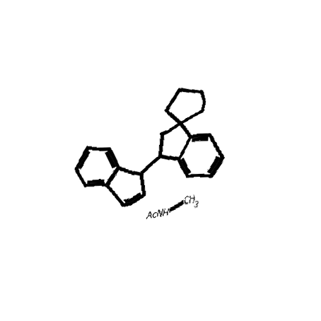 C1=CC(C2CC3(CCCC3)c3ccccc32)c2ccccc21.CNC(C)=O